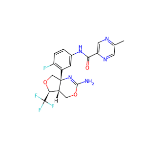 Cc1cnc(C(=O)Nc2ccc(F)c([C@]34CO[C@H](C(F)(F)F)[C@H]3COC(N)=N4)c2)cn1